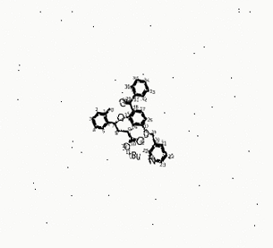 Cc1ccccc1C(CCC(=O)OC(C)(C)C)Oc1cc(OCc2cccnc2)ccc1C(=O)c1ccccc1